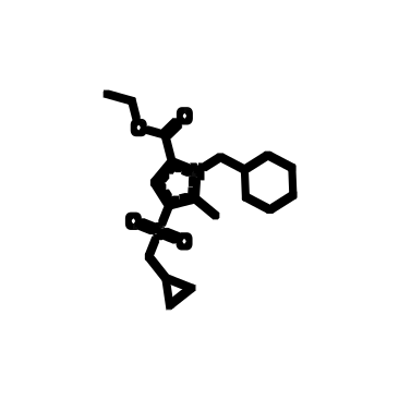 CCOC(=O)c1cc(S(=O)(=O)CC2CC2)c(C)n1CC1CCCCC1